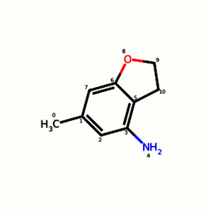 Cc1cc(N)c2c(c1)OCC2